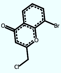 O=c1cc(CCl)oc2c(Br)cccc12